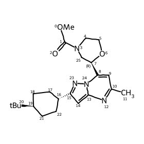 COC(=O)N1CCO[C@@H](c2cc(C)nc3cc([C@H]4CC[C@H](C(C)(C)C)CC4)nn23)C1